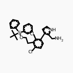 CC(C)(C)[Si](OCCc1c(Cl)ccc(-c2cc[nH]c2CN)c1Cl)(c1ccccc1)c1ccccc1